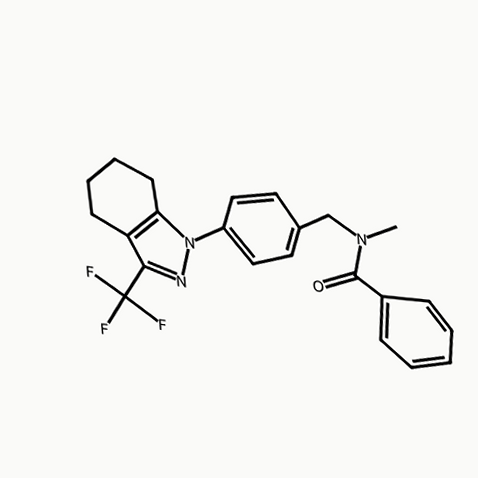 CN(Cc1ccc(-n2nc(C(F)(F)F)c3c2CCCC3)cc1)C(=O)c1ccccc1